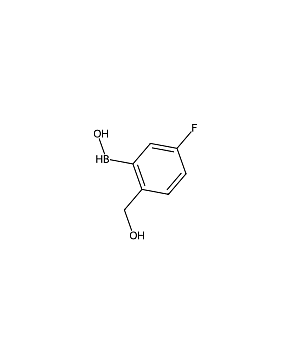 OBc1cc(F)ccc1CO